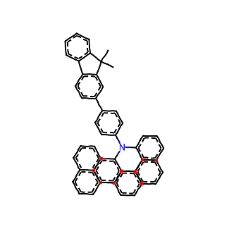 CC1(C)c2ccccc2-c2ccc(-c3ccc(N(c4ccccc4-c4ccccc4)c4ccccc4-c4cccc(-c5cccc6ccccc56)c4)cc3)cc21